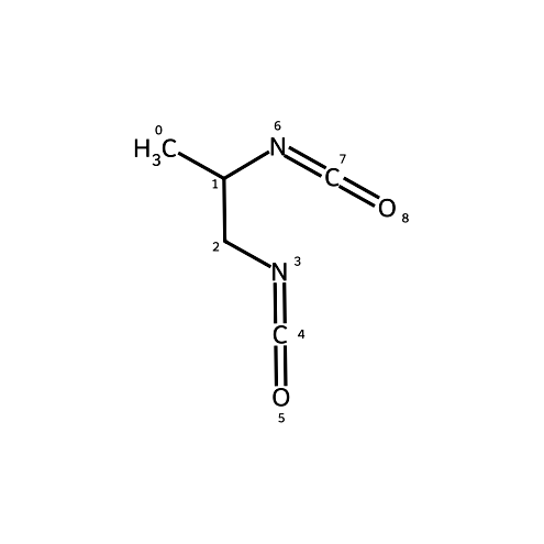 CC(CN=C=O)N=C=O